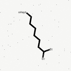 C[CH]C(CC)CCCCCCCCCCCCC